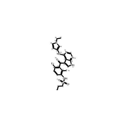 CCCS(=O)(=O)Nc1ccc(F)c(C(=O)c2c[nH]c3ncnc(Nc4ccn(CC)c4)c23)c1F